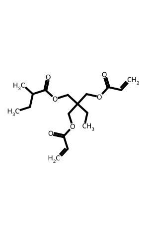 C=CC(=O)OCC(CC)(COC(=O)C=C)COC(=O)C(C)CC